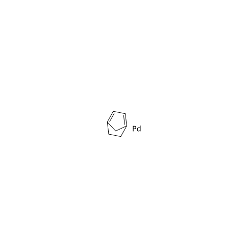 C1=C2CCC(=C1)C2.[Pd]